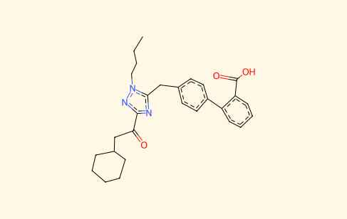 CCCCn1nc(C(=O)CC2CCCCC2)nc1Cc1ccc(-c2ccccc2C(=O)O)cc1